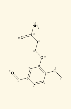 COc1ccc(C=O)cc1OCCC(N)=O